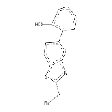 Oc1ccccc1-c1ccc2sc(CBr)nc2c1